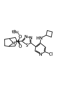 CC(C)(C)OC(=O)N1C2CCC1CN(c1nnc(-c3cnc(Cl)cc3NC3CCC3)s1)C2